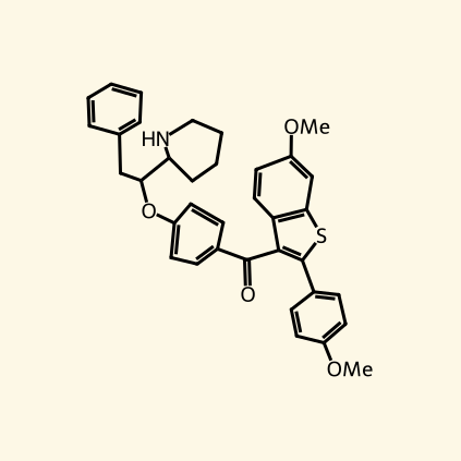 COc1ccc(-c2sc3cc(OC)ccc3c2C(=O)c2ccc(OC(Cc3ccccc3)C3CCCCN3)cc2)cc1